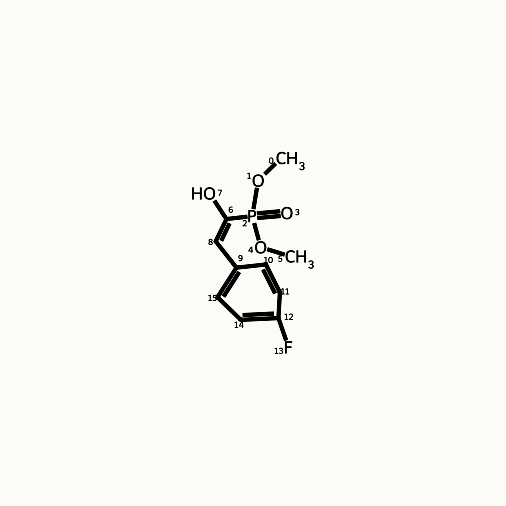 COP(=O)(OC)C(O)=Cc1ccc(F)cc1